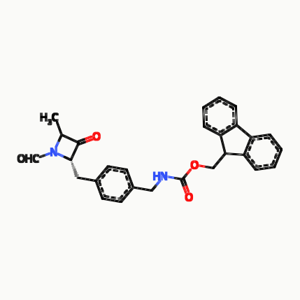 CC1C(=O)[C@H](Cc2ccc(CNC(=O)OCC3c4ccccc4-c4ccccc43)cc2)N1C=O